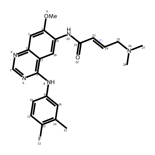 COc1cc2ncnc(Nc3ccc(F)c(C)c3)c2cc1NC(=O)/C=C/CN(C)C